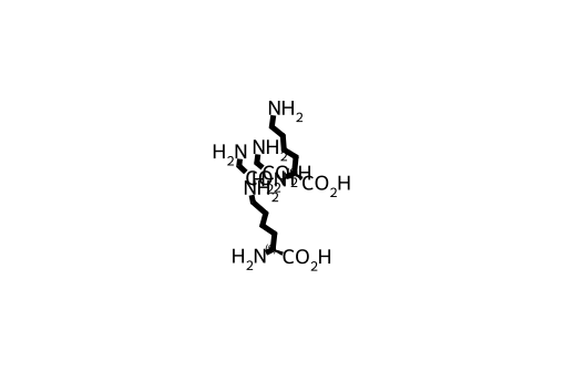 NCC(=O)O.NCC(=O)O.NCCCC[C@H](N)C(=O)O.NCCCC[C@H](N)C(=O)O